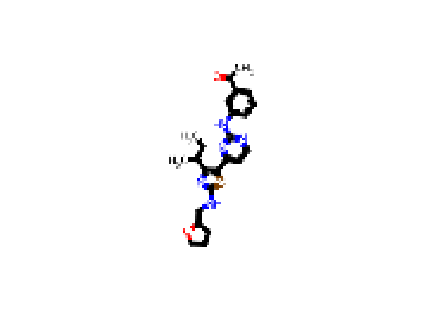 CCC(C)c1nc(NCC2CCCO2)sc1-c1ccnc(Nc2cccc(C(C)=O)c2)n1